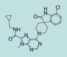 Cn1c(C(=O)NCC2CC2)nc2c(N3CCC4(CC3)C(=O)Nc3c(Cl)cccc34)ncnc21